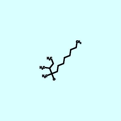 CCCCCCCCC(C)([O])C(C)CC